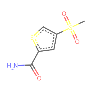 CS(=O)(=O)c1csc(C(N)=O)c1